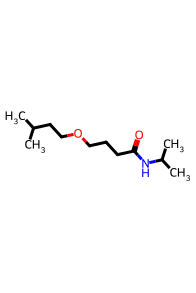 CC(C)CCOCCCC(=O)NC(C)C